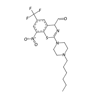 CCCCCCN1CCN(C2=NC(C=O)c3cc(C(F)(F)F)cc([N+](=O)[O-])c3S2)CC1